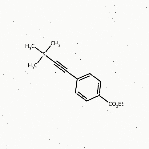 CCOC(=O)c1ccc(C#CS(C)(C)C)cc1